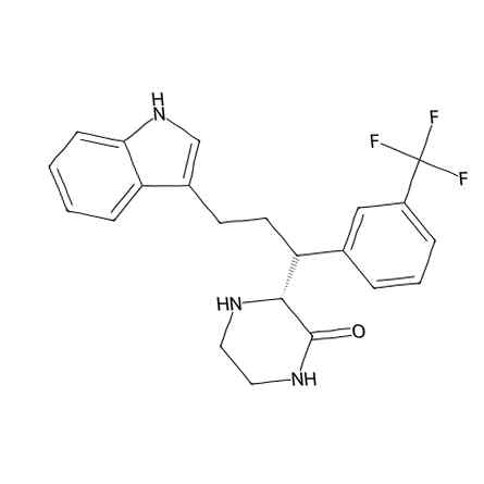 O=C1NCCN[C@@H]1C(CCc1c[nH]c2ccccc12)c1cccc(C(F)(F)F)c1